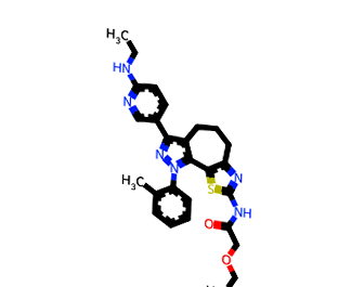 CCNc1ccc(-c2nn(-c3ccccc3C)c3c2CCCc2nc(NC(=O)COCC)sc2-3)cn1